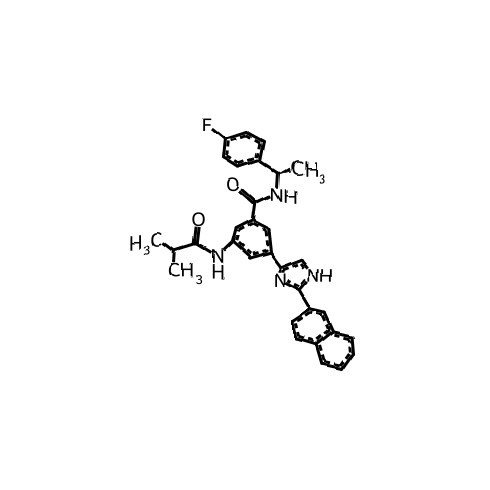 CC(C)C(=O)Nc1cc(C(=O)N[C@H](C)c2ccc(F)cc2)cc(-c2c[nH]c(-c3ccc4ccccc4c3)n2)c1